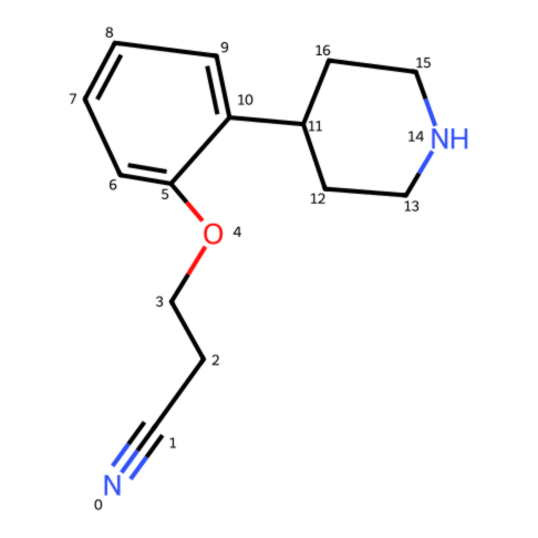 N#CCCOc1ccccc1C1CCNCC1